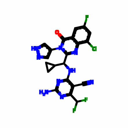 N#Cc1c(N[C@H](c2nc3c(Cl)cc(F)cc3c(=O)n2-c2cn[nH]c2)C2CC2)nc(N)nc1C(F)F